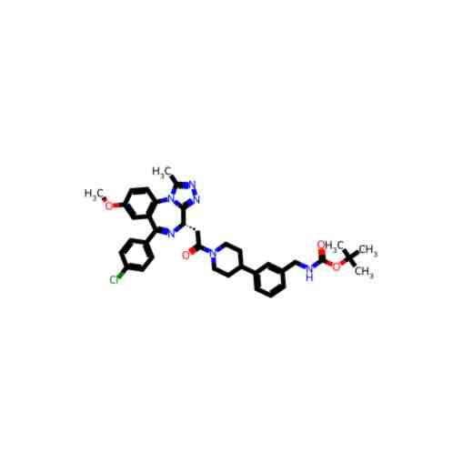 COc1ccc2c(c1)C(c1ccc(Cl)cc1)=N[C@@H](CC(=O)N1CCC(c3cccc(CNC(=O)OC(C)(C)C)c3)CC1)c1nnc(C)n1-2